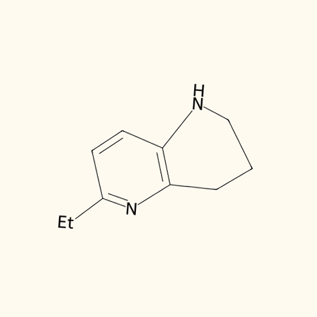 CCc1ccc2c(n1)CCCN2